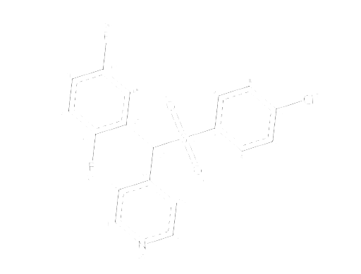 O=S(=O)(c1ccc(Cl)cc1)C(c1ccncc1)c1cc(F)ccc1F